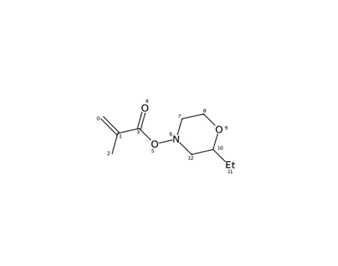 C=C(C)C(=O)ON1CCOC(CC)C1